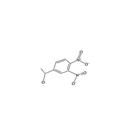 CC([O])c1ccc([N+](=O)[O-])c([N+](=O)[O-])c1